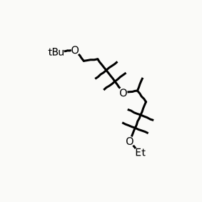 CCOC(C)(C)C(C)(C)CC(C)OC(C)(C)C(C)(C)CCOC(C)(C)C